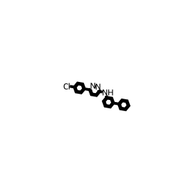 Clc1ccc(-c2ccc(Nc3cccc(-c4ccccc4)c3)nn2)cc1